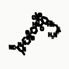 Cc1cc(C#N)nc(N2CCN(S(=O)(=O)c3ccc(NC(=O)c4cc(CNC[C@H]5C[C@H]5N)ccc4N(C)S(C)(=O)=O)cc3)CC2)n1